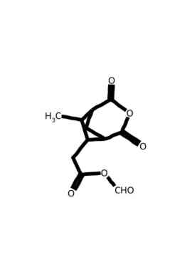 CC1C2CC(C(=O)OC2=O)C1CC(=O)OC=O